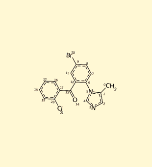 Cc1cncn1-c1ccc(Br)cc1C(=O)c1ccccc1Cl